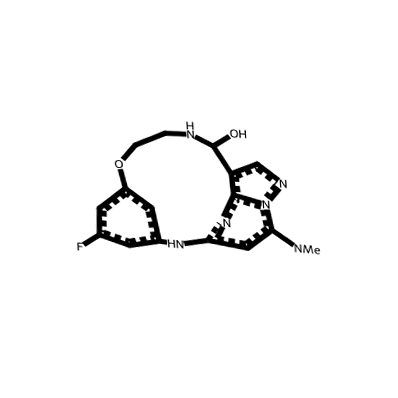 CNc1cc2nc3c(cnn13)C(O)NCCOc1cc(F)cc(c1)N2